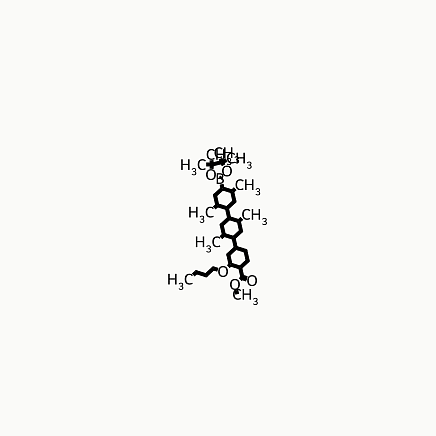 CCCCOC1CC(C2CC(C)C(C3CC(C)C(B4OC(C)(C)C(C)(C)O4)CC3C)CC2C)CCC1C(=O)OC